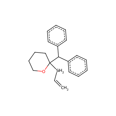 C=C[SiH2]C1(C(c2ccccc2)c2ccccc2)CCCCO1